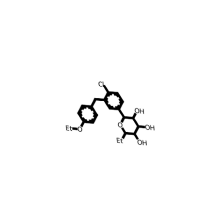 CCOc1ccc(Cc2cc(C3OC(CC)C(O)C(O)C3O)ccc2Cl)cc1